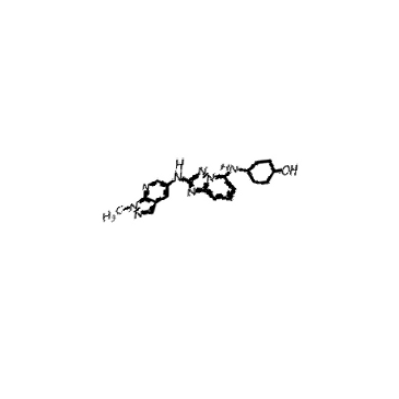 Cn1ncc2cc(Nc3nc4cccc(NC5CCC(O)CC5)n4n3)cnc21